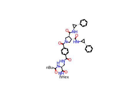 CCCCCCNC(=O)[C@H](CNC(=O)c1ccc(C(=O)N2C[C@@H](C(=O)N[C@H]3C[C@@H]3c3ccccc3)[C@H](C(=O)N[C@H]3C[C@@H]3c3ccccc3)C2)cc1)NC(=O)CCCC